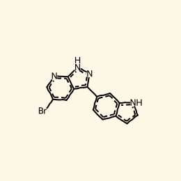 Brc1cnc2[nH]nc(-c3ccc4cc[nH]c4c3)c2c1